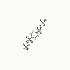 O=S(=O)(OCC(F)(F)F)C1CCC(S(=O)(=O)OCC(F)(F)F)CC1